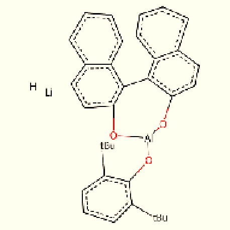 CC(C)(C)c1cccc(C(C)(C)C)c1[O][Al]1[O]c2ccc3ccccc3c2-c2c(ccc3ccccc23)[O]1.[H-].[Li+]